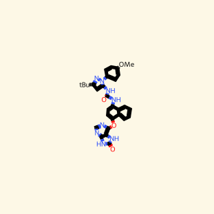 COc1ccc(-n2nc(C(C)(C)C)cc2NC(=O)Nc2ccc(Oc3ncnc4[nH]c(=O)[nH]c34)c3ccccc23)cc1